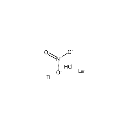 Cl.O=[N+]([O-])[O-].[La].[Ti]